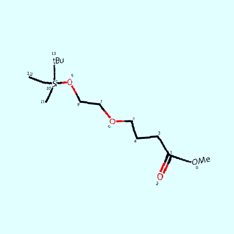 COC(=O)CCCOCCO[Si](C)(C)C(C)(C)C